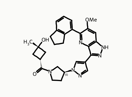 COc1cc2[nH]nc(-c3cnn([C@H]4CCN(C(=O)[C@H]5C[C@@](C)(O)C5)C4)c3)c2nc1-c1cccc2c1CCC2